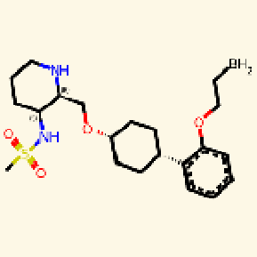 BCCOc1ccccc1[C@H]1CC[C@@H](OC[C@@H]2NCCC[C@@H]2NS(C)(=O)=O)CC1